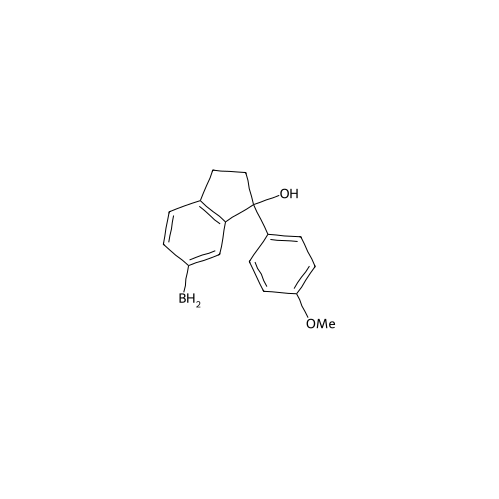 Bc1ccc2c(c1)C(O)(c1ccc(OC)cc1)CC2